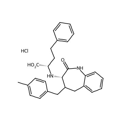 Cc1ccc(CC2Cc3ccccc3NC(=O)[C@H]2N[C@@H](CCc2ccccc2)C(=O)O)cc1.Cl